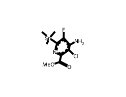 COC(=O)c1n[c]([Sn]([CH3])([CH3])[CH3])c(F)c(N)c1Cl